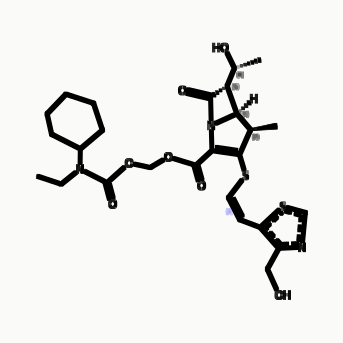 CCN(C(=O)OCOC(=O)C1=C(S/C=C\c2scnc2CO)[C@H](C)[C@@H]2[C@@H]([C@@H](C)O)C(=O)N12)C1CCCCC1